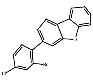 Clc1ccc(-c2ccc3c(c2)oc2ccccc23)c(Br)c1